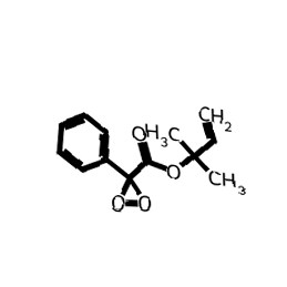 C=CC(C)(C)OC(=O)C1(c2ccccc2)OO1